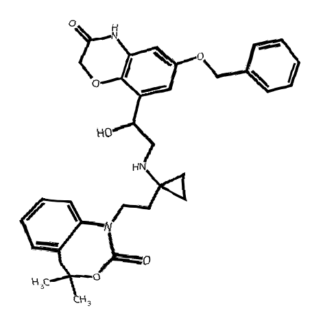 CC1(C)OC(=O)N(CCC2(NCC(O)c3cc(OCc4ccccc4)cc4c3OCC(=O)N4)CC2)c2ccccc21